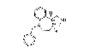 c1ccc(CN2CC[C@@H]3CNC[C@H]3c3ccccc32)cc1